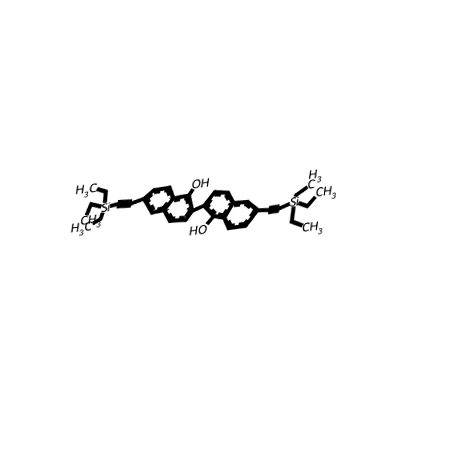 CC[Si](C#Cc1ccc2c(O)c(-c3ccc4cc(C#C[Si](CC)(CC)CC)ccc4c3O)ccc2c1)(CC)CC